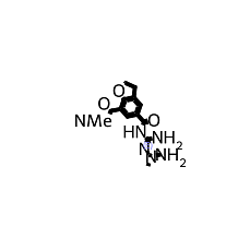 CNC(=O)c1cc(C(=O)N/C(N)=N/N(C)N)cc2c1OCC2